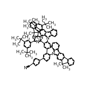 CC(C)(C)c1cc(-c2nc(-c3cc(C(C)(C)C)cc(C(C)(C)C)c3)nc(-c3cc(-c4cc(-c5ccc(C#N)cc5)ccc4-n4c5ccccc5c5cc6c(cc54)C(C)(C)c4ccccc4-6)ccc3-n3c4ccccc4c4cc5c(cc43)C(C)(C)c3ccccc3-5)n2)cc(C(C)(C)C)c1